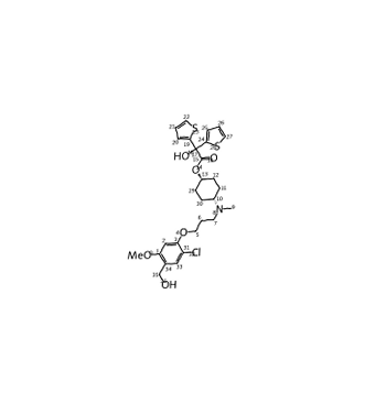 COc1cc(OCCCN(C)[C@H]2CC[C@H](OC(=O)C(O)(c3cccs3)c3cccs3)CC2)c(Cl)cc1CO